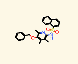 Cc1nc(NS(=O)(=O)c2cccc3ccccc23)c(C)c(C)c1OCc1ccccc1